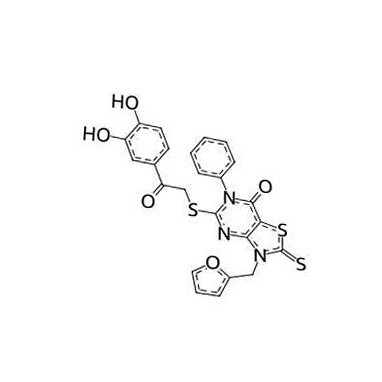 O=C(CSc1nc2c(sc(=S)n2Cc2ccco2)c(=O)n1-c1ccccc1)c1ccc(O)c(O)c1